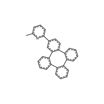 Cc1cccc(-c2ccc3c(c2)-c2ccccc2-c2ccccc2-c2ccccc2-3)n1